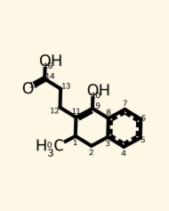 CC1Cc2ccccc2C(O)=C1CCC(=O)O